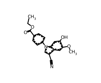 CCOC(=O)c1ccc(-n2cc(C#N)c3cc(OC)c(O)cc32)cc1